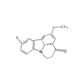 COc1cc2c3c(c1)c1cc(F)ccc1n3CCC2=O